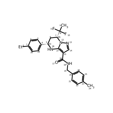 CCc1ccc([C@@H]2C[C@H](C(C)(F)F)n3ncc(C(=O)NCc4ccc(C)cc4)c3N2)cc1